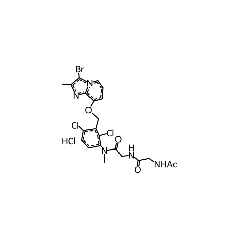 CC(=O)NCC(=O)NCC(=O)N(C)c1ccc(Cl)c(COc2cccn3c(Br)c(C)nc23)c1Cl.Cl